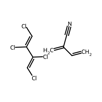 C=CC(=C)C#N.Cl/C=C(Cl)/C(Cl)=C/Cl